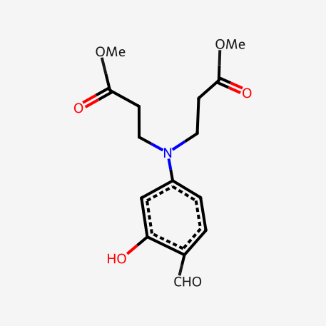 COC(=O)CCN(CCC(=O)OC)c1ccc(C=O)c(O)c1